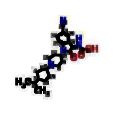 CC(C)C1CCC(N2CCC(N3C(=O)C(NC(=O)O)c4cc(C#N)ccc43)CC2)CC1